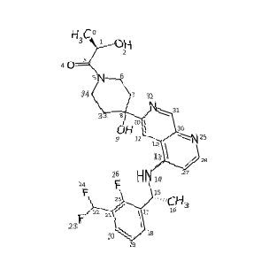 C[C@@H](O)C(=O)N1CCC(O)(c2cc3c(N[C@H](C)c4cccc(C(F)F)c4F)ccnc3cn2)CC1